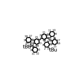 CC(C)(C)c1cccc([Si](c2ccccc2)(c2ccccc2)c2cccc(-c3ccc([Si](c4ccccc4)(c4ccccc4)C(C)(C)C)cc3)c2)c1